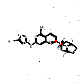 CCS(=O)(=O)N1[C@@H]2CC[C@H]1C[C@@H](c1ccc3c(N)nc(Nc4cc(C)[nH]n4)cc3n1)C2